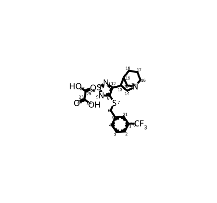 FC(F)(F)c1cccc(CSc2nsnc2C2CN3CCCC2C3)c1.O=C(O)C(=O)O